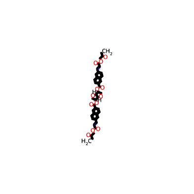 C=CC(=O)COC(=O)/C=C/c1ccc2cc(C(=O)O[C@H]3CO[C@H]4[C@@H]3OC[C@H]4OC(=O)c3ccc4cc(/C=C/C(=O)OCC(=O)C=C)ccc4c3)ccc2c1